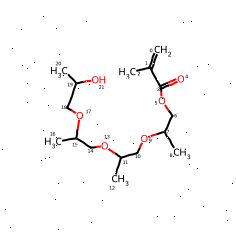 C=C(C)C(=O)OCC(C)OCC(C)OCC(C)OCC(C)O